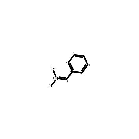 C[N+]([O-])=Cc1ccccc1